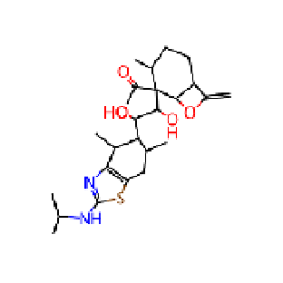 C=C1OC2C1CCC(C)C2(C(C)=O)C(O)C(O)C1C(C)Cc2sc(NC(C)C)nc2C1C